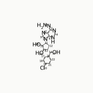 N/N=c1/nc[nH]c2c1ncn2[C@@H]1C[C@H](C(O)c2ccc(Cl)cc2)[C@@H](O)[C@H]1O